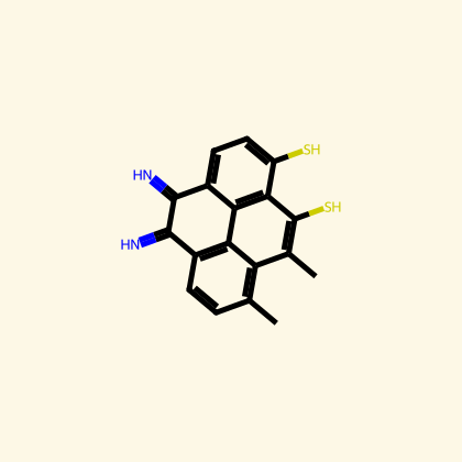 Cc1ccc2c(=N)c(=N)c3ccc(S)c4c(S)c(C)c1c2c43